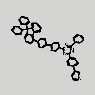 c1ccc(-c2nc(-c3ccc(-c4ccc(-c5cccc6c5-c5ccccc5C6(c5ccccc5)c5ccccc5)cc4)cc3)nc(-c3ccc(-c4cccnc4)cc3)n2)cc1